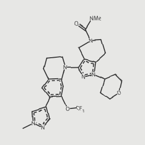 CNC(=O)N1CCc2c(c(N3CCCc4cc(-c5cnn(C)c5)c(OC(F)(F)F)cc43)nn2C2CCOCC2)C1